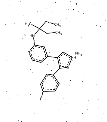 CCC(C)(CC)Nc1cc(-c2c[nH]nc2-c2ccc(F)cc2)ccn1.N